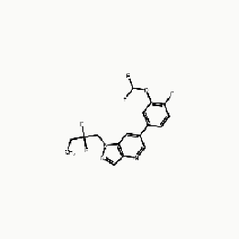 CCC(F)(F)Cn1ncc2ncc(-c3ccc(F)c(OC(F)F)c3)cc21